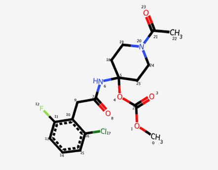 COC(=O)OC1(NC(=O)Cc2c(F)cccc2Cl)CCN(C(C)=O)CC1